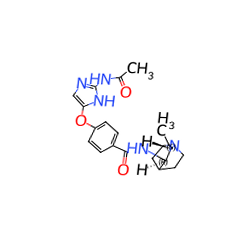 CC(=O)Nc1ncc(Oc2ccc(C(=O)N[C@@H]3C4CCN(CC4)[C@H]3C)cc2)[nH]1